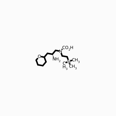 C[Si](C)(C)CCN(C[C@H](N)CC1CCCCO1)C(=O)O